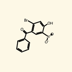 O=C(c1ccccc1)c1cc([N+](=O)[O-])c(O)cc1Br